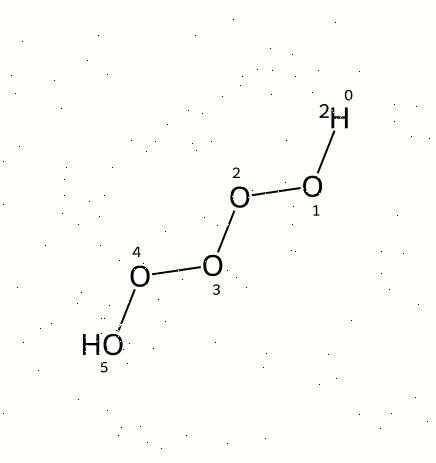 [2H]OOOOO